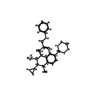 CC(=O)N1c2ccc(N3CCOCC3)nc2[C@H](NC(=O)OCc2ccccc2)C(C)C1C1CC1